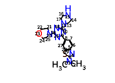 CN(C)c1nc2ccc(-c3nc(N4CCNCC4)nc(N4CCOCC4)n3)cc2s1